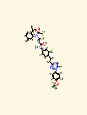 Cc1ccc(C(C)C)c(N2C(=O)CSC2=NC(=O)Nc2ccc(CCc3ncn(-c4ccc(OC(F)(F)F)cc4)n3)c(F)c2)c1